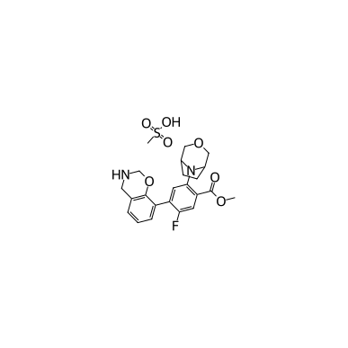 COC(=O)c1cc(F)c(-c2cccc3c2OCNC3)cc1N1C2CCC1COC2.CS(=O)(=O)O